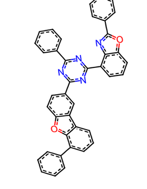 c1ccc(-c2nc(-c3ccc4oc5c(-c6ccccc6)cccc5c4c3)nc(-c3cccc4oc(-c5ccccc5)nc34)n2)cc1